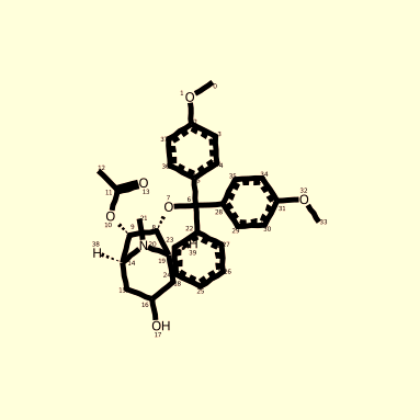 COc1ccc(C(O[C@H]2[C@@H](OC(C)=O)[C@@H]3CC(O)C[C@H]2N3C)(c2ccccc2)c2ccc(OC)cc2)cc1